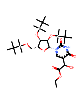 CCOC(=O)C(O)c1cn([C@@H]2O[C@H](CO[Si](C)(C)C(C)(C)C)[C@@H](O[Si](C)(C)C(C)(C)C)[C@H]2O[Si](C)(C)C(C)(C)C)c(=O)[nH]c1=O